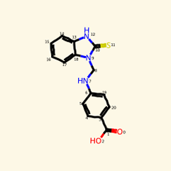 O=C(O)c1ccc(NCn2c(=S)[nH]c3ccccc32)cc1